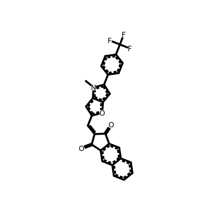 Cn1c(-c2ccc(C(F)(F)F)cc2)cc2oc(C=C3C(=O)c4cc5ccccc5cc4C3=O)cc21